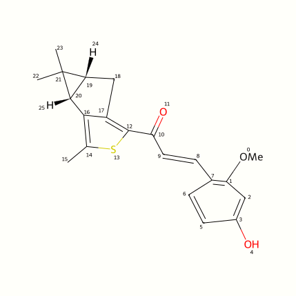 COc1cc(O)ccc1/C=C/C(=O)c1sc(C)c2c1C[C@@H]1[C@H]2C1(C)C